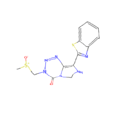 C[S+]([O-])CN1N=NC2=C(c3nc4ccccc4s3)NCN2C1=O